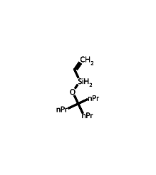 C=C[SiH2]OC(CCC)(CCC)CCC